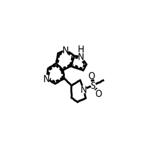 CS(=O)(=O)N1CCCC(c2cncc3cnc4[nH]ccc4c23)C1